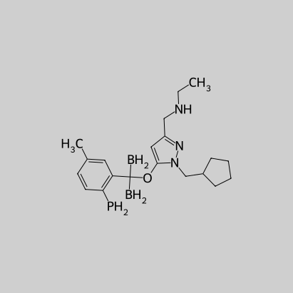 BC(B)(Oc1cc(CNCC)nn1CC1CCCC1)c1cc(C)ccc1P